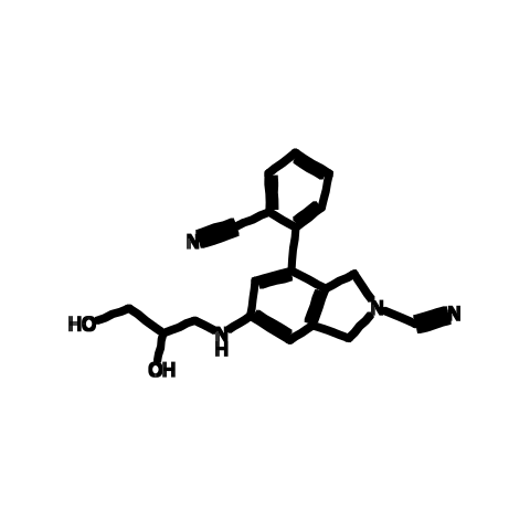 N#Cc1ccccc1-c1cc(NCC(O)CO)cc2c1CN(C#N)C2